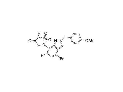 COc1ccc(Cn2cc3c(Br)cc(F)c(N4CC(=O)NS4(=O)=O)c3n2)cc1